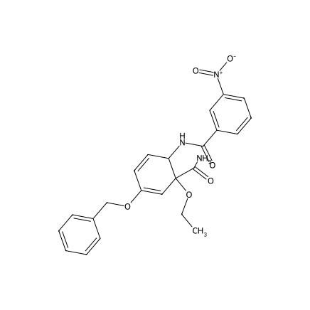 CCOC1(C(N)=O)C=C(OCc2ccccc2)C=CC1NC(=O)c1cccc([N+](=O)[O-])c1